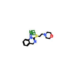 Cl.Cl.c1ccc2c(c1)CN=C(SCCN1CCOCC1)N2